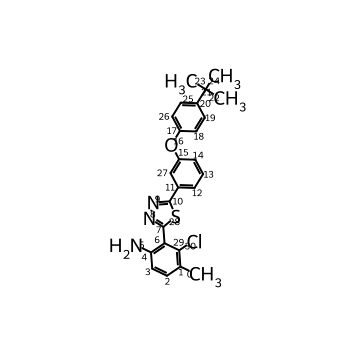 Cc1ccc(N)c(-c2nnc(-c3cccc(Oc4ccc(C(C)(C)C)cc4)c3)s2)c1Cl